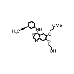 CC#Cc1cccc(Nc2ncnc3cc(OCCO)c(OCCOC)cc23)c1